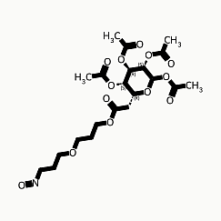 CC(=O)OC1O[C@H](CC(=O)OCCCOCCCN=O)[C@H](OC(C)=O)[C@@H](OC(C)=O)[C@@H]1OC(C)=O